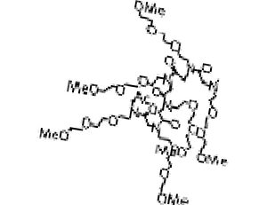 COCCOCCOCCN(C)CC(=O)N(CCOCCOCCOC)CC(=O)N(CCOCCOCCOC)CC(=O)N(CCOCCOCCOC)CC(=O)N(CCOCCOCCOC)CC(=O)N(CCOCCOCCOC)CC(C)=O